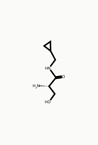 N[C@@H](CO)C(=O)NCC1CC1